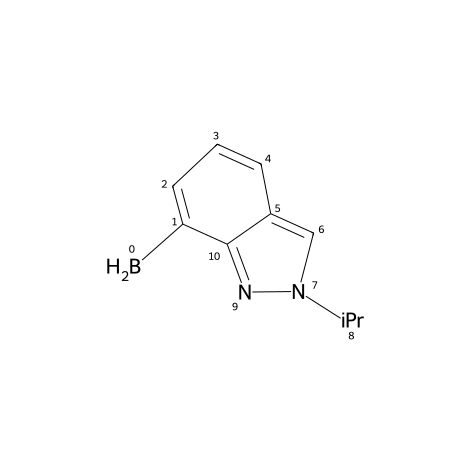 Bc1cccc2cn(C(C)C)nc12